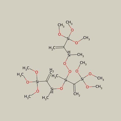 C=C([SiH](C)OO[Si](C)(O[SiH](C)C(=C)[Si](OC)(OC)OC)C(=C)[Si](OC)(OC)OC)[Si](OC)(OC)OC